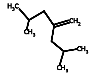 C=C(CC(C)C)CC(C)C